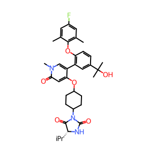 Cc1cc(F)cc(C)c1Oc1ccc(C(C)(C)O)cc1-c1cn(C)c(=O)cc1OC1CCC(N2C(=O)N[C@H](C(C)C)C2=O)CC1